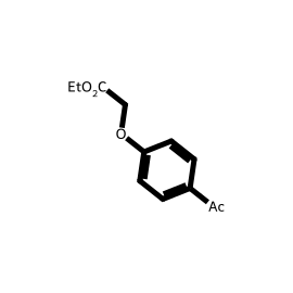 CCOC(=O)COc1ccc(C(C)=O)cc1